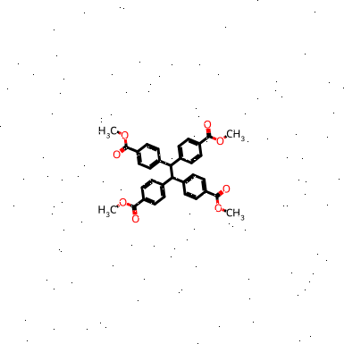 COC(=O)c1ccc(C(c2ccc(C(=O)OC)cc2)C(c2ccc(C(=O)OC)cc2)c2ccc(C(=O)OC)cc2)cc1